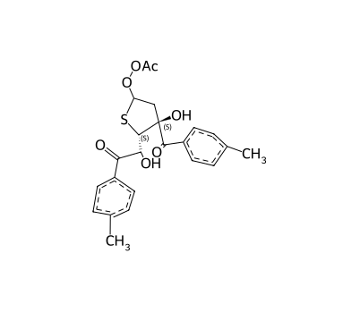 CC(=O)OOC1C[C@](O)(C(=O)c2ccc(C)cc2)[C@H](C(O)C(=O)c2ccc(C)cc2)S1